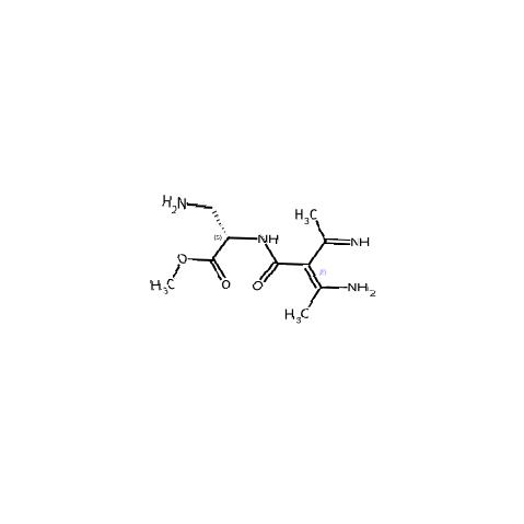 COC(=O)[C@H](CN)NC(=O)/C(C(C)=N)=C(\C)N